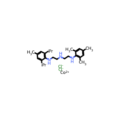 Cc1cc(C)c(NCCNCCNc2c(C(C)C)cc(C)cc2C(C)C)c(C)c1.[Cl-].[Cl-].[Co+2]